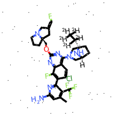 [2H]C([2H])([2H])C([2H])([2H])[C@@]12CC[C@@H](CN(c3nc(OC[C@@]45CCCN4C/C(=C\F)C5)nc4c(F)c(-c5nc(N)cc(C)c5C(F)(F)F)c(Cl)cc34)C1)N2